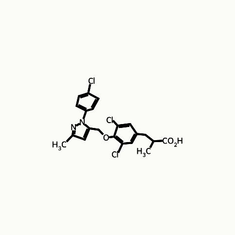 Cc1cc(COc2c(Cl)cc(CC(C)C(=O)O)cc2Cl)n(-c2ccc(Cl)cc2)n1